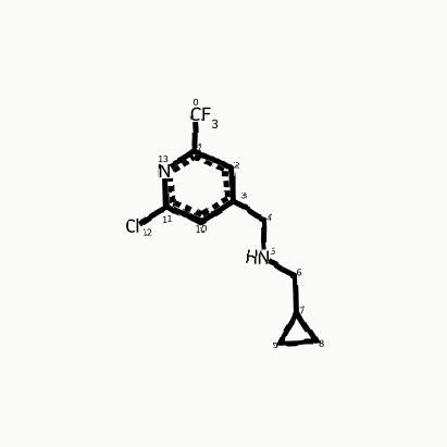 FC(F)(F)c1cc(CNCC2CC2)cc(Cl)n1